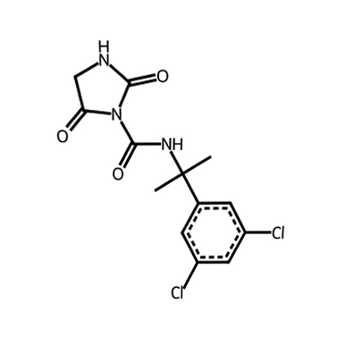 CC(C)(NC(=O)N1C(=O)CNC1=O)c1cc(Cl)cc(Cl)c1